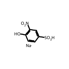 O=[N+]([O-])c1cc(S(=O)(=O)O)ccc1O.[Na]